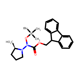 CC(C)(C)[Si](C)(C)ON(C(=O)OCC1c2ccccc2-c2ccccc21)N1CCC[C@H]1C(=O)O